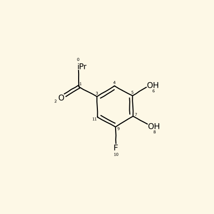 CC(C)C(=O)c1cc(O)c(O)c(F)c1